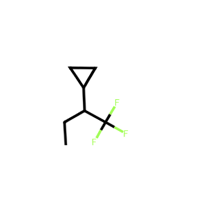 CCC(C1CC1)C(F)(F)F